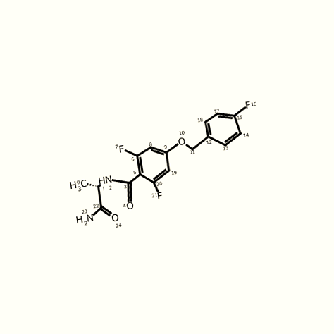 C[C@H](NC(=O)c1c(F)cc(OCc2ccc(F)cc2)cc1F)C(N)=O